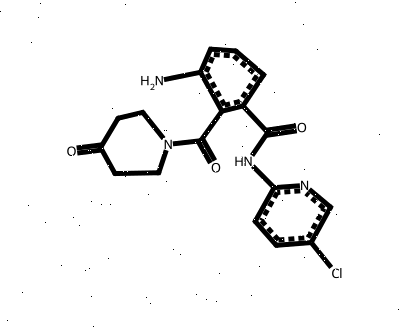 Nc1cccc(C(=O)Nc2ccc(Cl)cn2)c1C(=O)N1CCC(=O)CC1